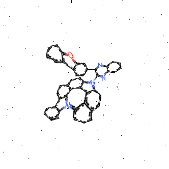 c1ccc2nc(-n3c4ccc5cccc6c5c4c4c5c(ccc7c8ccccc8n6c75)ccc43)c(-c3ccc4c(c3)oc3ccccc34)nc2c1